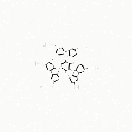 CCCCCCc1ccc2c(c1)c1cc(CCCCCC)ccc1n2-c1c(C)c(-n2c3ccc(CCCCCC)cc3c3cc(CCCCCC)ccc32)c(C#N)c(-n2c3ccc(CCCCCC)cc3c3cc(CCCCCC)ccc32)c1C#N